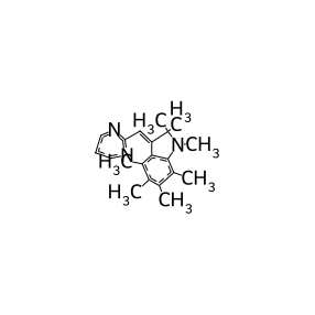 Cc1c(C)c(C)c2c(c1C)/C(=C\c1ncccn1)C(C)(C)N2C